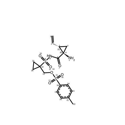 C=C[C@@H]1C[C@]1(N)C(=O)NS(=O)(=O)C1(COS(=O)(=O)c2ccc(C)cc2)CC1